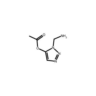 CC(=O)Oc1cnnn1CN